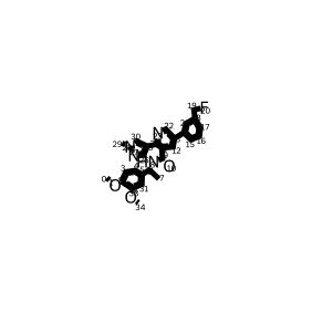 COc1ccc(C(C)NC(=O)c2cc(-c3cccc(CF)c3)cnc2-c2cnn(C)c2)cc1OC